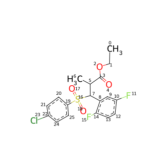 CCOC(=O)C(C)C(c1cc(F)ccc1F)S(=O)(=O)c1ccc(Cl)cc1